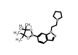 CC1(C)OB(c2ccc3cnn(CCN4CCCC4)c3c2)OC1(C)C